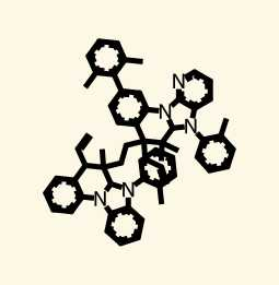 C=CCC1(CCC2(C)C(C=C)c3ccccc3N3c4ccccc4N(c4ccccc4C)C32)c2ccc(-c3c(C)cccc3C)cc2N2c3ncccc3N(c3ccccc3C)C2C1(C)C